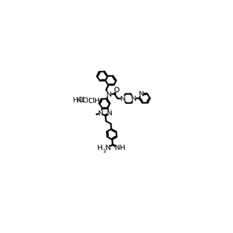 Cl.Cl.Cl.Cn1c(CCc2ccc(C(=N)N)cc2)nc2cc(N(Cc3cccc4ccccc34)C(=O)CN3CCN(c4ccccn4)CC3)ccc21